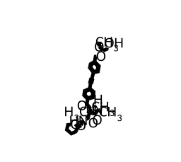 CNC(=O)[C@@](C)(C(=O)NOC1CCCCO1)N(C)C(=O)c1ccc(C#Cc2ccc(COC(CO)OC)cc2)cc1